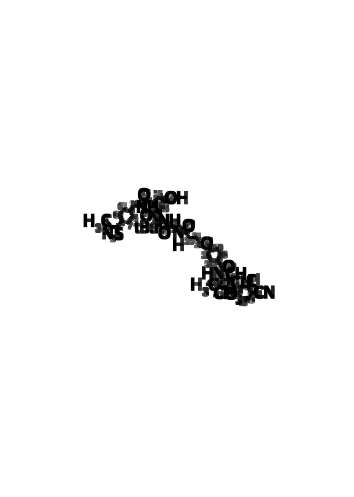 Cc1ncsc1-c1ccc(CNC(=O)C2C[C@@H](O)CN2C(=O)[C@@H](NC(=O)CNC(=O)CCCOc2ccc(C(=O)N[C@H]3C(C)(C)[C@H](Oc4ccc(C#N)c(Cl)c4)C3(C)C)cc2)C(C)(C)C)cc1